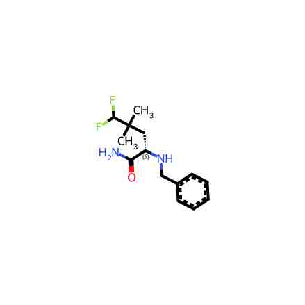 CC(C)(C[C@H](NCc1ccccc1)C(N)=O)C(F)F